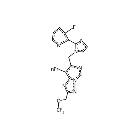 CCCc1c(Cn2ccnc2-c2ncccc2F)ncn2nc(COC(F)(F)F)nc12